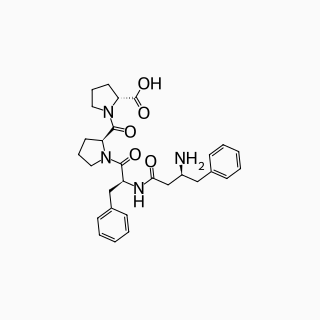 N[C@H](CC(=O)N[C@@H](Cc1ccccc1)C(=O)N1CCC[C@H]1C(=O)N1CCC[C@@H]1C(=O)O)Cc1ccccc1